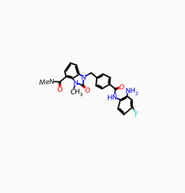 CNC(=O)c1cccc2c1n(C)c(=O)n2Cc1ccc(C(=O)Nc2ccc(F)cc2N)cc1